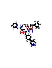 O=C(O)N[C@@H](Cc1ccccc1)[C@H](O)C[C@H](Cc1ccc(-c2ccncc2)cc1)NC(=O)OCc1ccccc1